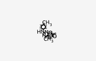 Cc1nc(N[C@H]2CC[C@@H](C)CC2)nc(OC2COC2)c1Br